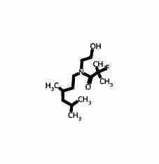 CC(C)CC(C)CCN(CCO)C(=O)C(C)(C)F